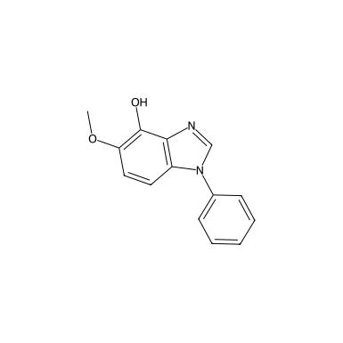 COc1ccc2c(ncn2-c2ccccc2)c1O